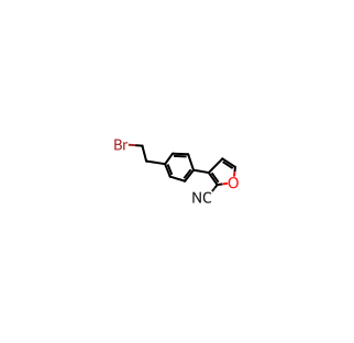 N#Cc1occc1-c1ccc(CCBr)cc1